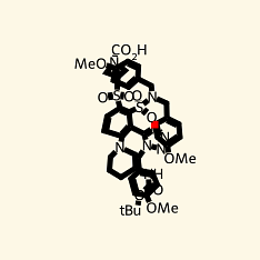 COc1ccc(CN(Cc2ccc(OC)cc2)S(=O)(=O)c2c(S(=O)(=O)C3CN(C(=O)O)C3)ccc(N3CCCC(NC(=O)OC(C)(C)C)C3)c2-c2nnnn2Cc2ccc(OC)cc2)cc1